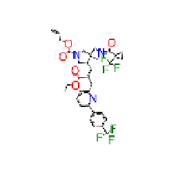 C=CCOC(=O)N1CC(/C=C(/Cc2cccc(-c3ccc(C(F)(F)F)cc3)n2)C(=O)OCC)C2(C1)CN(C(=O)C1(C(F)(F)F)CC1)C2